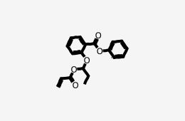 C=CC(=O)OC(CC)Oc1ccccc1C(=O)Oc1[c]cccc1